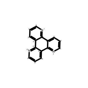 c1cnc2c(c1)c1ncccc1c1ncccc21